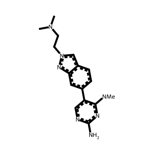 CNc1nc(N)ncc1-c1ccc2cn(CCN(C)C)nc2c1